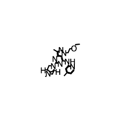 CCOCCn1nc(C)c2nc(N3C[C@@H]4C[C@H]3CN4C)nc(Nc3cc(C)ccn3)c21